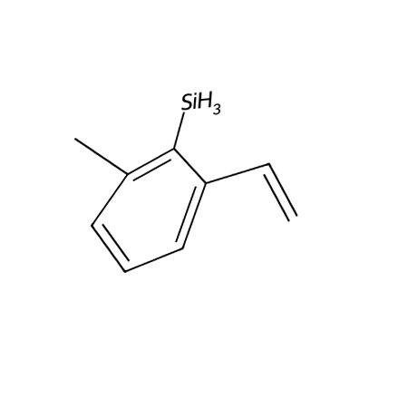 C=Cc1cccc(C)c1[SiH3]